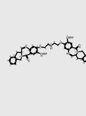 COc1cc2c(cc1OCCNCCOc1cc3c(cc1OC)C(=O)N1Cc4ccccc4CC1C=N3)N=CC1Cc3ccccc3CN1C2=O